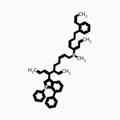 C=C/C=C(\c1cn(-c2ccccc2)c2c(-c3ccccc3)cccc12)C(C=C)CC/C=C\CN(C)C(/C=C\CCc1ccccc1/C=C\C)=C/C=C